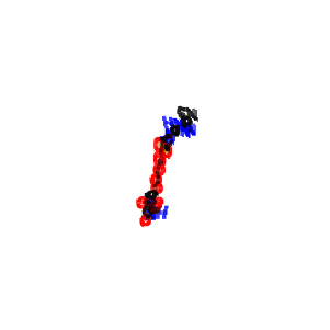 N#Cc1ccc2ncnc(Nc3ccc(N4CCN(S(=O)(=O)CCOCCOCCOCCOc5ccc6c(c5)C(=O)N(C5CCC(=O)NC5=O)C6=O)CC4)cc3)c2c1